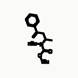 C=C(CC(C)N(CCCC)C(=O)OC(C)(C)C)c1ccccc1